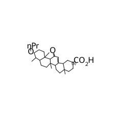 CCCOC1CCC2(C)C(CCC3(C)C4CCC5(C)CC[C@H](C(=O)O)CC5C4=CC(=O)C32)C1C